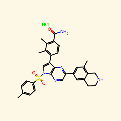 Cc1ccc(S(=O)(=O)n2cc(-c3ccc(C(N)=O)c(C)c3C)c3nc(-c4cc(C)c5c(c4)CCNC5)cnc32)cc1.Cl